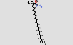 C=C(CCCCCCCCCCCCCCCCCCC)C(N)=O